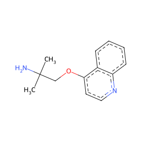 CC(C)(N)COc1ccnc2ccccc12